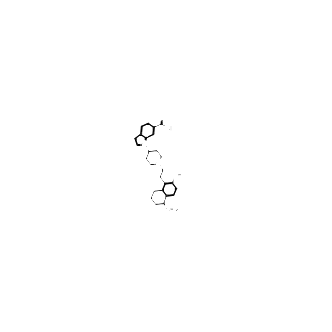 CO/N=C1/CCCc2c1ccc(OC)c2CCN1CCC(n2ccc3ccc(C(N)=O)cc32)CC1